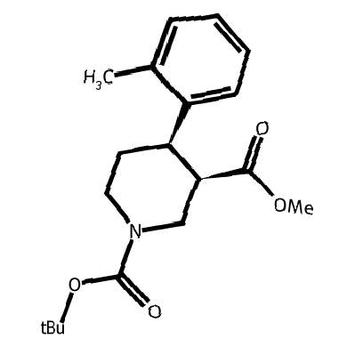 COC(=O)[C@H]1CN(C(=O)OC(C)(C)C)CC[C@H]1c1ccccc1C